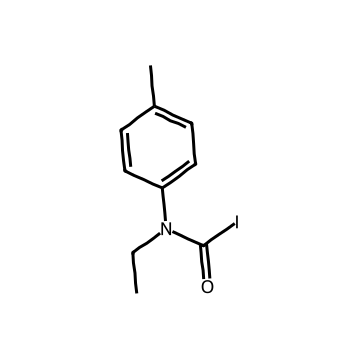 CCN(C(=O)I)c1ccc(C)cc1